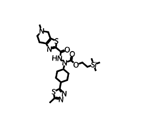 Cc1nnc(C2CCC(N(NC(=O)c3nc4c(s3)CN(C)CC4)C(=O)OCC[Si](C)(C)C)CC2)s1